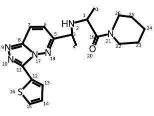 CC(NC(C)c1ccc2nnc(-c3cccs3)n2n1)C(=O)N1CCCCC1